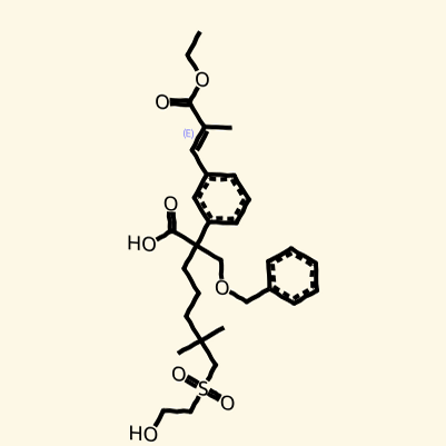 CCOC(=O)/C(C)=C/c1cccc(C(CCCC(C)(C)CS(=O)(=O)CCO)(COCc2ccccc2)C(=O)O)c1